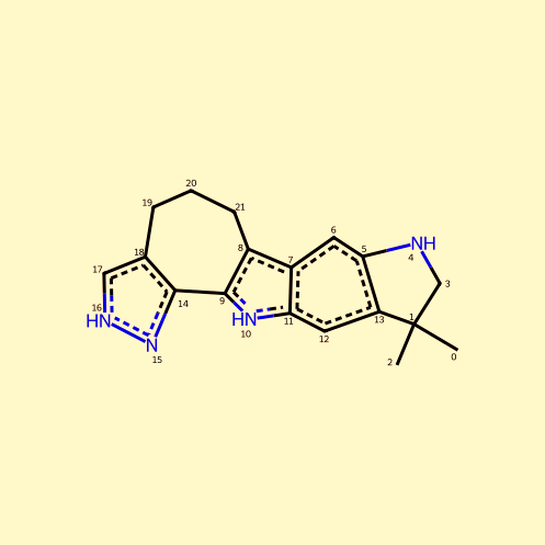 CC1(C)CNc2cc3c4c([nH]c3cc21)-c1n[nH]cc1CCC4